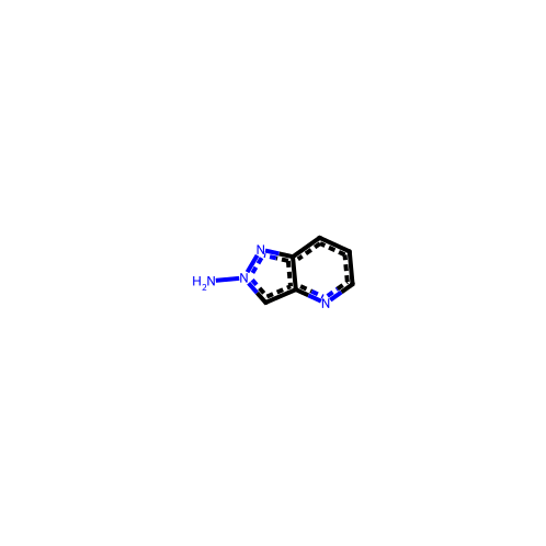 Nn1cc2ncccc2n1